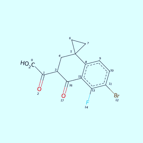 O=C(O)C(=O)C1CC2(CC2)c2ccc(Br)c(F)c2C1=O